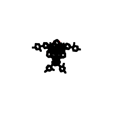 Cc1ccc(-c2ccc3c4ccc(-c5ccc(C)cc5C)cc4n(-c4cccc(-n5c6cc(-c7ccc(C)cc7C)ccc6c6ccc(-c7ccc(C)cc7C)cc65)c4-c4nc(-c5ccccc5)nc(-c5c(-n6c7cc(-c8ccc(C)cc8C)ccc7c7ccc(-c8ccc(C)cc8C)cc76)cccc5-n5c6cc(-c7ccc(C)cc7C)ccc6c6ccc(-c7ccc(C)cc7C)cc65)n4)c3c2)c(C)c1